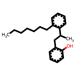 CCCCCCCc1ccccc1C(C)Cc1ccccc1O